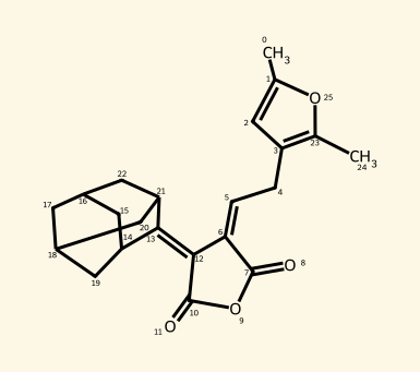 Cc1cc(CC=C2C(=O)OC(=O)C2=C2C3CC4CC(C3)CC2C4)c(C)o1